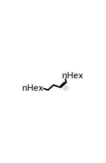 CCCCCC/C=C\CCCCCCCC